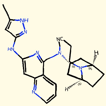 Cc1cc(Nc2cc3ncccc3c(N(C)[C@@H]3C[C@H]4CC[C@@H](C3)N4CCC#N)n2)n[nH]1